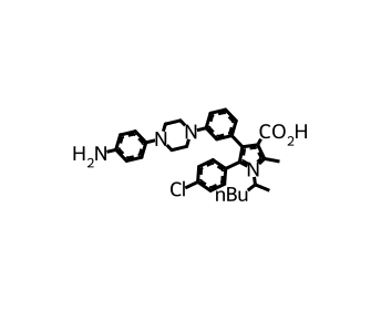 CCCCC(C)n1c(C)c(C(=O)O)c(-c2cccc(N3CCN(c4ccc(N)cc4)CC3)c2)c1-c1ccc(Cl)cc1